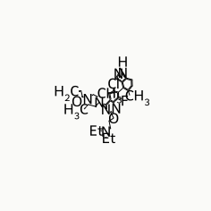 C=CC(=O)N1C[C@H](C)N(c2nc(OCCN(CC)CC)nc3c(F)c(-c4c(C)ccc5[nH]ncc45)c(Cl)cc23)C[C@H]1C